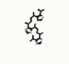 CC(C)c1ncsc1C(C)CCC(C)c1scnc1C(C)CCC(C)c1ccsc1C(C)C